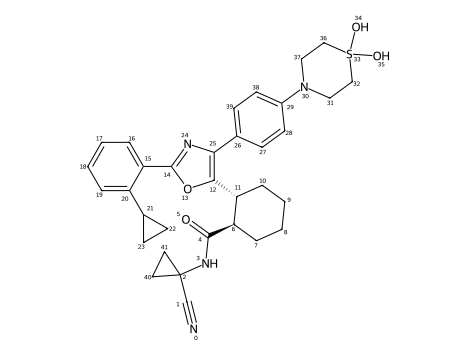 N#CC1(NC(=O)[C@@H]2CCCC[C@H]2c2oc(-c3ccccc3C3CC3)nc2-c2ccc(N3CCS(O)(O)CC3)cc2)CC1